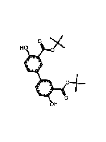 CC(C)(C)OC(=O)c1cc(-c2ccc(O)c(C(=O)OC(C)(C)C)c2)ccc1O